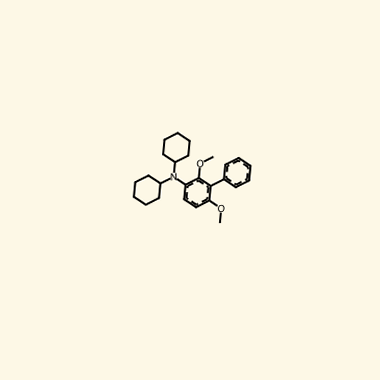 COc1ccc(N(C2CCCCC2)C2CCCCC2)c(OC)c1-c1ccccc1